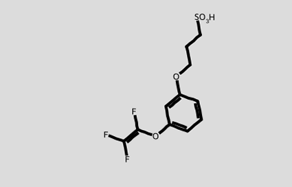 O=S(=O)(O)CCCOc1cccc(OC(F)=C(F)F)c1